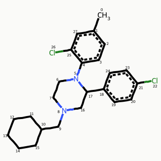 Cc1ccc(N2CCN(CC3CCCCC3)CC2c2ccc(Cl)cc2)c(Cl)c1